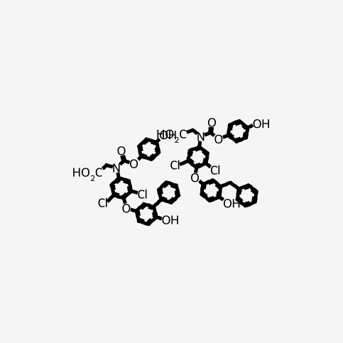 O=C(O)CN(C(=O)Oc1ccc(O)cc1)c1cc(Cl)c(Oc2ccc(O)c(-c3ccccc3)c2)c(Cl)c1.O=C(O)CN(C(=O)Oc1ccc(O)cc1)c1cc(Cl)c(Oc2ccc(O)c(Cc3ccccc3)c2)c(Cl)c1